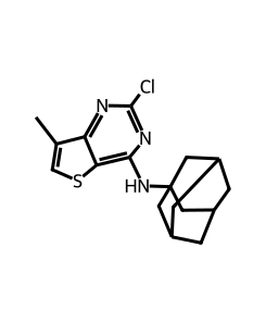 Cc1csc2c(NC34CC5CC(CC(C5)C3)C4)nc(Cl)nc12